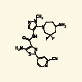 Cn1ncc(NC(=O)c2nc(-c3ccnc(C#N)c3)sc2N)c1N1CC[C@@H](N)CC(F)(F)C1